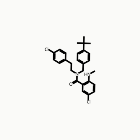 CNc1ccc(Cl)cc1C(=O)N(CCc1ccc(Cl)cc1)Cc1ccc(C(C)(C)C)cc1